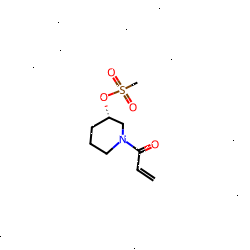 C=CC(=O)N1CCC[C@H](OS(C)(=O)=O)C1